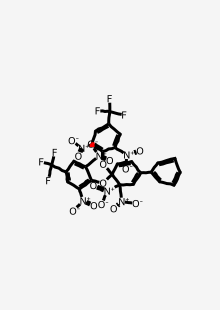 O=[N+]([O-])c1cc(C(F)(F)F)cc([N+](=O)[O-])c1OC1(Oc2c([N+](=O)[O-])cc(C(F)(F)F)cc2[N+](=O)[O-])C=CC(c2ccccc2)=CC1([N+](=O)[O-])[N+](=O)[O-]